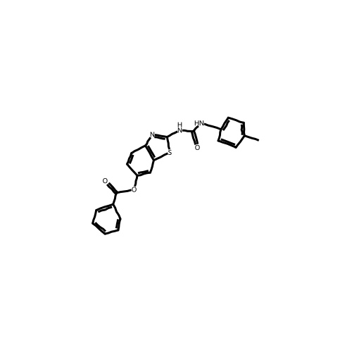 Cc1ccc(NC(=O)Nc2nc3ccc(OC(=O)c4ccccc4)cc3s2)cc1